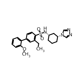 CCc1cc(-c2ccccc2OC)ccc1S(=O)(=O)N[C@H]1CCC[C@@H](n2cnnc2)C1